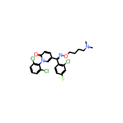 CN(C)CCCCON=C(c1ccc(=O)n(-c2c(Cl)cccc2Cl)c1)c1ccc(F)cc1Cl